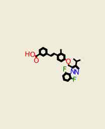 Cc1cc(OCc2c(C(C)C)cnn2-c2c(F)cccc2F)ccc1C=Cc1cccc(C(=O)O)c1